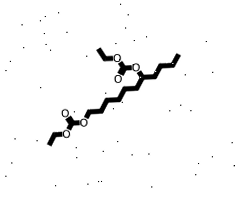 CCCC[C](CCCCCCOC(=O)OCC)OC(=O)OCC